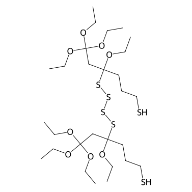 CCOC(CC(CCCS)(OCC)SSSSC(CCCS)(CC(OCC)(OCC)OCC)OCC)(OCC)OCC